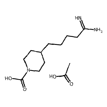 CC(=O)O.N=C(N)CCCCC1CCN(C(=O)O)CC1